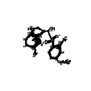 COc1ccc(S(=O)(=O)C(O)c2c[nH]c3ccc(Br)cc23)c(Br)c1